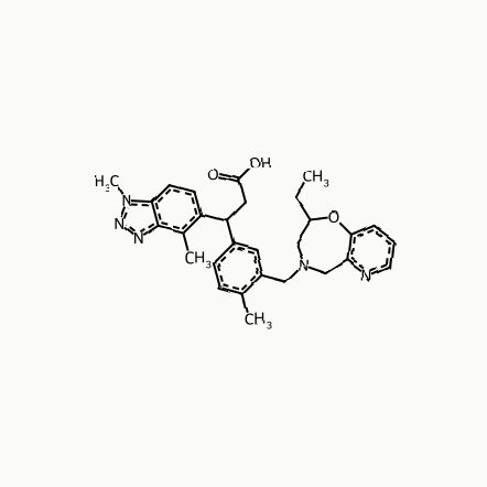 CCC1CN(Cc2cc(C(CC(=O)O)c3ccc4c(nnn4C)c3C)ccc2C)Cc2ncccc2O1